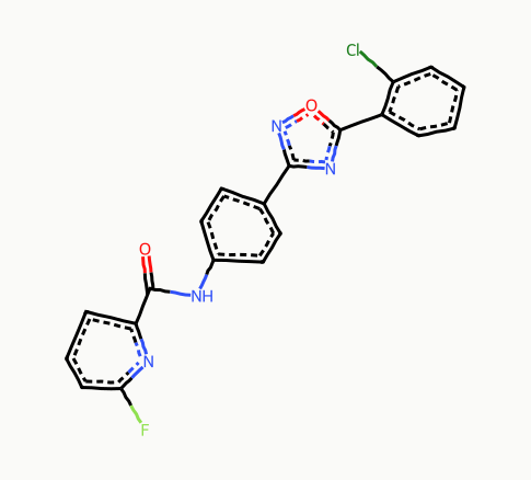 O=C(Nc1ccc(-c2noc(-c3ccccc3Cl)n2)cc1)c1cccc(F)n1